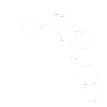 COc1ccc(C2=C3C(=O)c4c(NC(=O)Cc5ccccc5Cl)cccc4C3N=N2)cc1